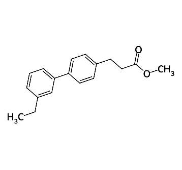 CCc1cccc(-c2ccc(CCC(=O)OC)cc2)c1